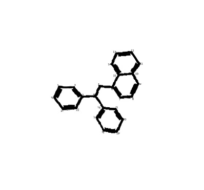 c1ccc(C(Cc2cccc3ccccc23)c2ccccc2)cc1